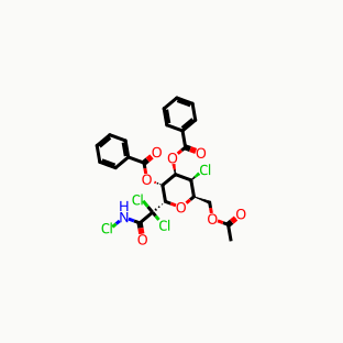 CC(=O)OC[C@H]1O[C@H](C(Cl)(Cl)C(=O)NCl)[C@H](OC(=O)c2ccccc2)[C@@H](OC(=O)c2ccccc2)[C@H]1Cl